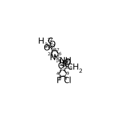 C=C(c1ccc(F)c(Cl)c1)S(=O)(=O)NCc1ccc(C(=O)OC)cn1